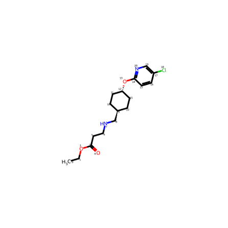 CCOC(=O)CCNC[C@H]1CC[C@H](Oc2ccc(Cl)cn2)CC1